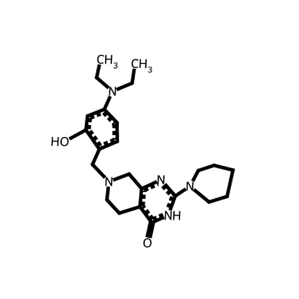 CCN(CC)c1ccc(CN2CCc3c(nc(N4CCCCC4)[nH]c3=O)C2)c(O)c1